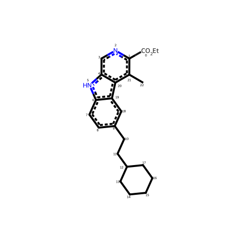 CCOC(=O)c1ncc2[nH]c3ccc(CCC4CCCCC4)cc3c2c1C